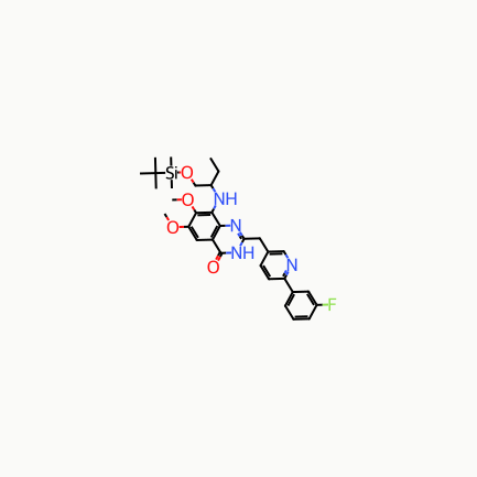 CCC(CO[Si](C)(C)C(C)(C)C)Nc1c(OC)c(OC)cc2c(=O)[nH]c(Cc3ccc(-c4cccc(F)c4)nc3)nc12